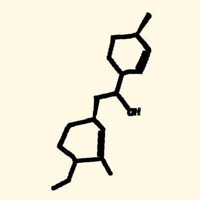 CCC1CC[C@@H](CC(O)C2C=C[C@H](C)CC2)C=C1C